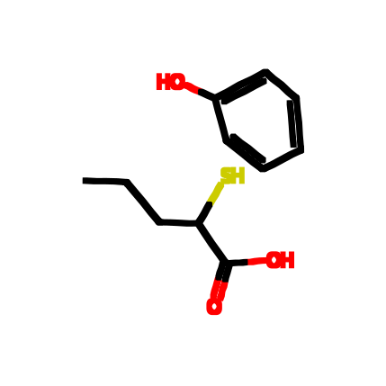 CCCC(S)C(=O)O.Oc1ccccc1